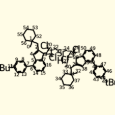 CC1(CC2=Cc3c(-c4ccc(C(C)(C)C)cc4)cccc3[CH]2[Zr]([Cl])([Cl])[CH2][SiH2][CH2][Zr]([Cl])([Cl])[CH]2C(CC3(C)CCCCC3)=Cc3c(-c4ccc(C(C)(C)C)cc4)cccc32)CCCCC1